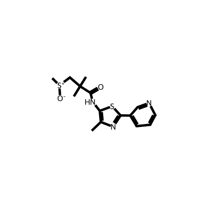 Cc1nc(-c2cccnc2)sc1NC(=O)C(C)(C)C[S+](C)[O-]